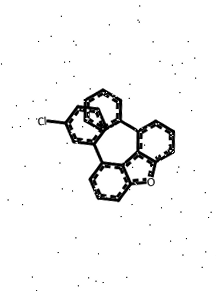 Clc1cccc(-c2cccc3oc4cccc(-c5ccccc5)c4c23)c1